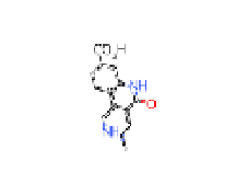 C=C/C=c1/c(=O)[nH]c2cc(C(=O)O)ccc2/c1=C/N